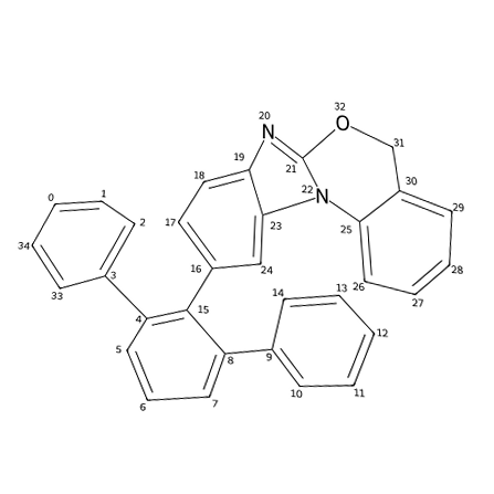 c1ccc(-c2cccc(-c3ccccc3)c2-c2ccc3nc4n(c3c2)-c2ccccc2CO4)cc1